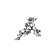 N=C(NCc1cnn(C[C@@H]2[C@H](NC(=O)/C(=N\OC3(C(=O)O)CC3)c3csc(N)n3)C(=O)N2S(=O)(=O)O)n1)NCC1CNC1